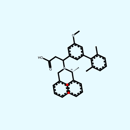 COc1cc(-c2c(C)cccc2C)cc(C(CC(=O)O)N(Cc2ccccc2)[C@H](C)c2ccccc2)c1